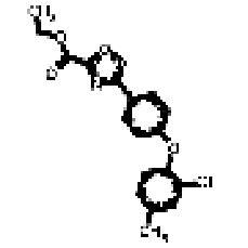 CCOC(=O)c1nc(-c2ccc(Oc3ccc(C)cc3O)cc2)no1